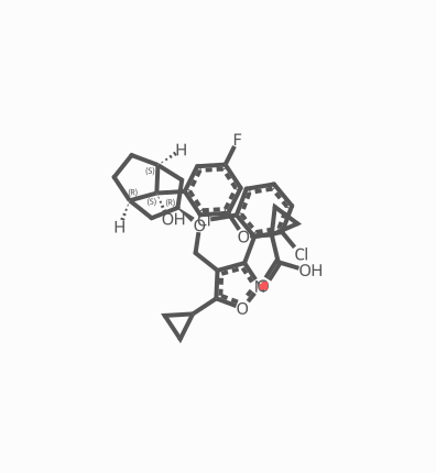 O=C(O)C1(Oc2cc(F)cc([C@@]3(O)[C@@H]4CC[C@H]3C[C@@H](OCc3c(-c5c(Cl)cccc5Cl)noc3C3CC3)C4)c2)CC1